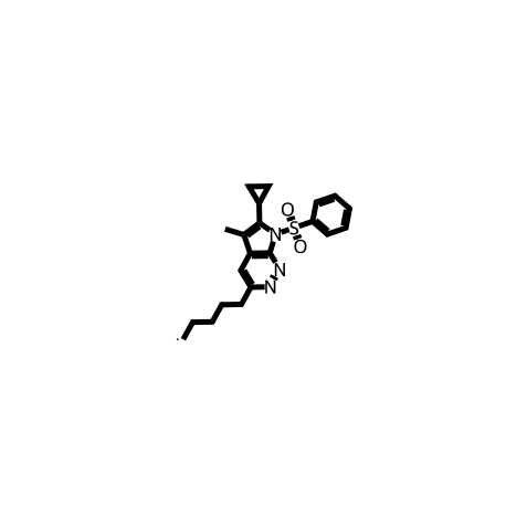 [CH2]CCCCc1cc2c(C)c(C3CC3)n(S(=O)(=O)c3ccccc3)c2nn1